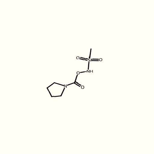 CS(=O)(=O)NOC(=O)N1CCCC1